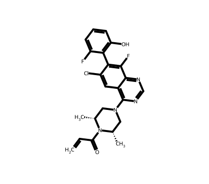 C=CC(=O)N1[C@H](C)CN(c2ncnc3c(F)c(-c4c(O)cccc4F)c(Cl)cc23)C[C@@H]1C